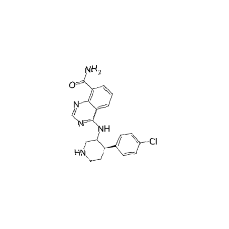 NC(=O)c1cccc2c(NC3CNCC[C@@H]3c3ccc(Cl)cc3)ncnc12